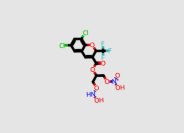 O=C(OC(CONO)CO[N+](=O)O)C1=Cc2cc(Cl)cc(Cl)c2OC1C(F)(F)F